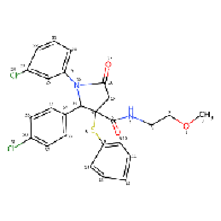 COCCNC(=O)C1(Sc2ccccc2)CC(=O)N(c2cccc(Cl)c2)C1c1ccc(Cl)cc1